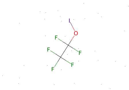 FC(F)(F)C(F)(F)OI